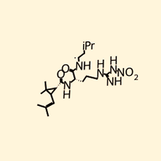 CC(C)=CC1[C@@H](C(=O)N[C@@H](CCCNC(=N)N[N+](=O)[O-])C(=O)N[CH]CC(C)C)C1(C)C